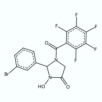 O=C1CN(C(=O)c2c(F)c(F)c(F)c(F)c2F)C(c2cccc(Br)c2)N1O